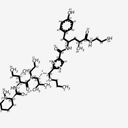 CCCO[C@H](C[C@H](C(C)C)N(CCC)C(=O)[C@@H](NC(=O)[C@H]1CCCCN1C)[C@@H](C)CC)c1nc(C(=O)NC(Cc2ccc(O)cc2)C[C@H](C)C(=O)NCCS)cs1